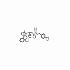 Cc1oc(-c2ccccc2Cl)nc1C[S+]([O-])CC(=O)NCCc1ccc(Cl)cc1